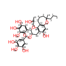 CCCC1(C)CC[C@@H](C(C)(C)O)c2c(cc(O)c3c2O[C@H](c2cc(O)c(O)c(O)c2)[C@H](OC(=O)c2cc(O)c(O)c(O)c2)C3)O1